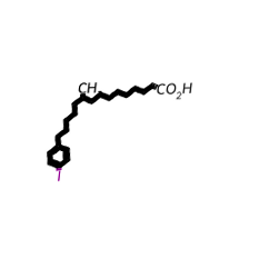 CC(CCCCCCCCC(=O)O)CCCCCc1ccc(I)cc1